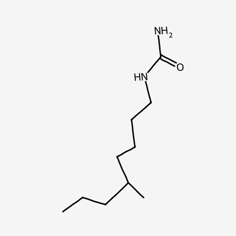 CCCC(C)CCCCNC(N)=O